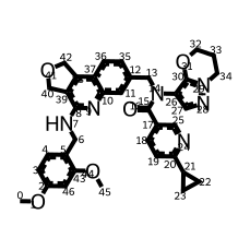 COc1ccc(CNc2nc3cc(CN(C(=O)c4ccc(C5CC5)nc4)c4cnn5c4OCCC5)ccc3c3c2COC3)c(OC)c1